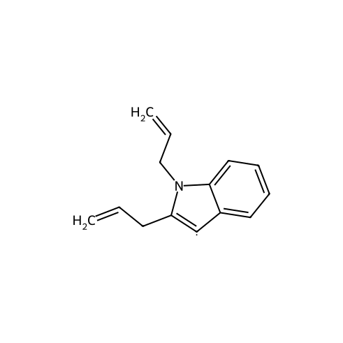 C=CCc1[c]c2ccccc2n1CC=C